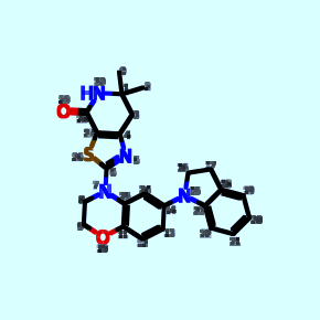 CC1(C)Cc2nc(N3CCOc4ccc(N5CCc6ccccc65)cc43)sc2C(=O)N1